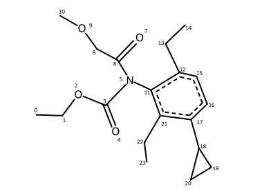 CCOC(=O)N(C(=O)COC)c1c(CC)ccc(C2CC2)c1CC